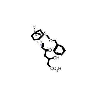 O=C(O)CC(O)CC(=O)/C=C/[C@@]12CC[C@@H](C[C@@H]1COCc1ccccc1)O2